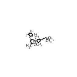 Cc1cc(C#CCN(C)C)cc(C)c1N1C[C@@H](Cc2ccc(F)cc2F)C[C@@H](C)C1=O